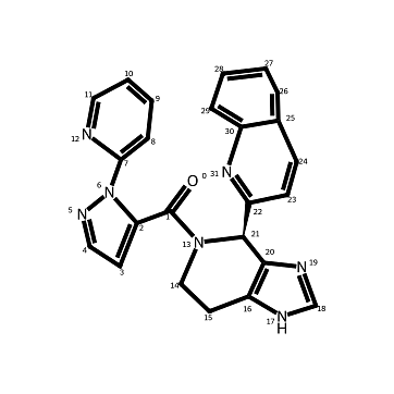 O=C(c1ccnn1-c1ccccn1)N1CCc2[nH]cnc2[C@@H]1c1ccc2ccccc2n1